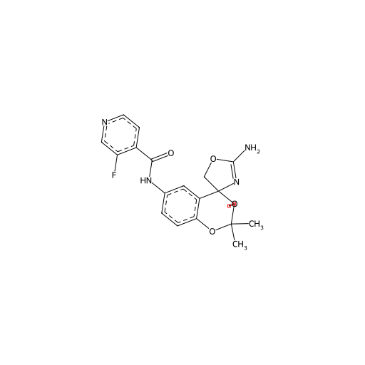 CC1(C)Oc2ccc(NC(=O)c3ccncc3F)cc2C2(COC(N)=N2)C12COC2